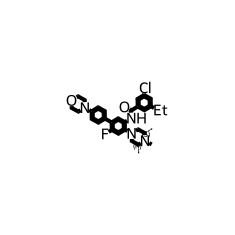 CCc1cc(Cl)cc(C(=O)Nc2cc(-c3ccc(N4CCOCC4)cc3)c(F)cc2N2C[C@@H](C)N(C)[C@@H](C)C2)c1